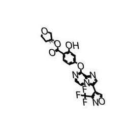 O=C(O[C@@H]1CCOC1)c1ccc(Oc2nccn3c(-c4conc4C(F)(F)F)cnc23)cc1O